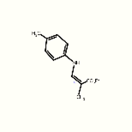 CCOC(=O)/C(C)=C\Nc1ccc(C)cc1